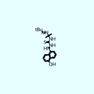 CC(C)(C)N=NC(C)(C)NC(=S)NNc1cccc2c(O)cccc12